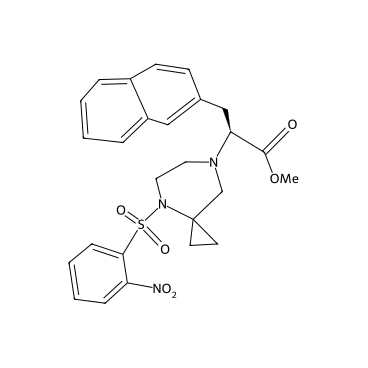 COC(=O)[C@H](Cc1ccc2ccccc2c1)N1CCN(S(=O)(=O)c2ccccc2[N+](=O)[O-])C2(CC2)C1